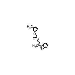 Cc1cccc(OCC(=O)OCCN(C)C2=NCc3ccccc32)c1